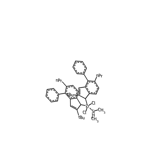 CCCc1ccc2c(c1-c1ccccc1)C=C(C(C)(C)C)[CH]2[Zr]([Cl])([Cl])([CH]1C(C(C)(C)C)=Cc2c1ccc(CCC)c2-c1ccccc1)[SiH](C)C